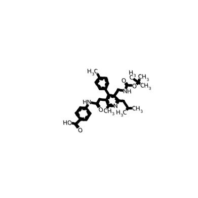 Cc1ccc(-c2c(CC(=O)Nc3ccc(C(=O)O)cc3)c(C)nc(CC(C)C)c2CNC(=O)OC(C)(C)C)cc1